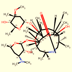 C=C1CC[C@@H]2[C@@H](C)CN[C@H](C)C[C@@](C)(OC1)[C@H](O[C@@H]1O[C@H](C)C[C@H](N(C)C)[C@H]1O)[C@@H](C)[C@H](O[C@H]1C[C@@](C)(OC)[C@@H](O)[C@H](C)O1)[C@@H](C)C(=O)O[C@H](CC)[C@@]2(C)O